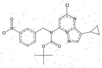 CC(C)(C)OC(=O)N(Cc1cccc([N+](=O)[O-])c1)c1cc(Cl)nc2c(C3CC3)cnn12